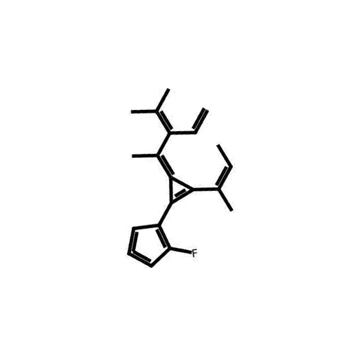 C=CC(=C(C)C)/C(C)=C1C(C2=C(F)C=C=C2)=C/1/C(C)=C\C